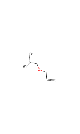 C=CCOCC(C(C)C)C(C)C